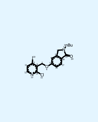 CCCCN1Cc2cc(OCc3c(I)ccnc3Cl)ccc2C1=O